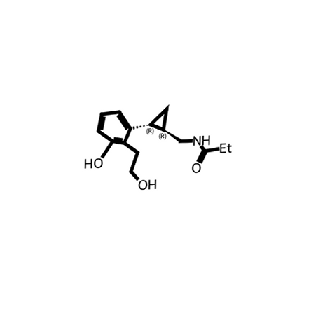 CCC(=O)NC[C@@H]1C[C@H]1c1cccc(O)c1CCO